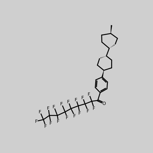 C[C@H]1CC[C@H]([C@H]2CC[C@H](c3ccc(C(=O)C(F)(F)C(F)(F)C(F)(F)C(F)(F)C(F)(F)C(F)(F)C(F)(F)C(F)(F)F)cc3)CC2)CC1